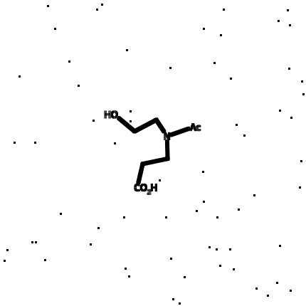 CC(=O)N(CCO)CCC(=O)O